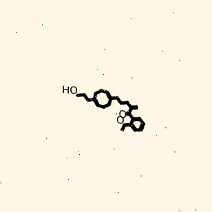 C=C(CCC/C1=C/CC/C(CCCO)=C\CC1)C(=O)c1ccccc1C(C)=O